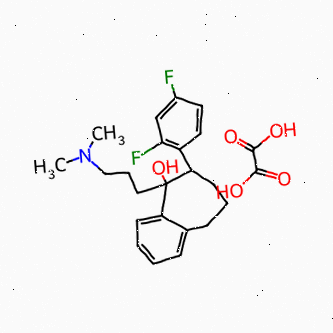 CN(C)CCCC1(O)c2ccccc2CCCC1c1ccc(F)cc1F.O=C(O)C(=O)O